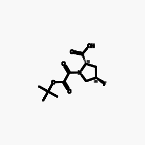 CC(C)(C)OC(=O)C(=O)N1C[C@H](F)C[C@H]1C(=O)O